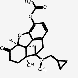 CC(=O)Oc1ccc2c3c1O[C@@H]1C(=O)CC[C@]4(O)C(N(C)CC5CC5)(C2)C[C@@]314